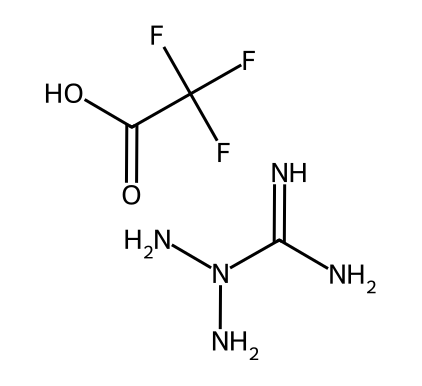 N=C(N)N(N)N.O=C(O)C(F)(F)F